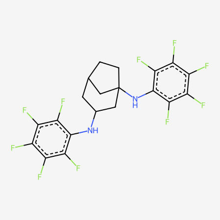 Fc1c(F)c(F)c(NC2CC3CCC(Nc4c(F)c(F)c(F)c(F)c4F)(C3)C2)c(F)c1F